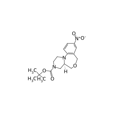 CC(C)(C)OC(=O)N1CCN2c3ccc([N+](=O)[O-])cc3COC[C@H]2C1